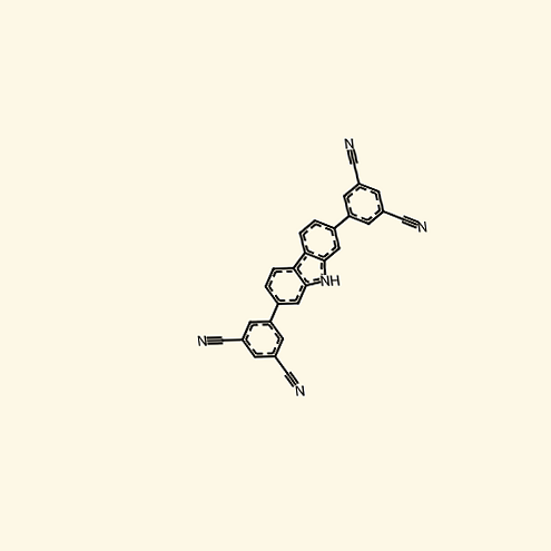 N#Cc1cc(C#N)cc(-c2ccc3c(c2)[nH]c2cc(-c4cc(C#N)cc(C#N)c4)ccc23)c1